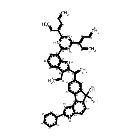 C=C/C=C(\C=C)c1nc(/C(C=C)=C/C=C)nc(-c2cccc3c(C=C)c(C(=C)c4ccc5c(c4)C(C)(C)c4ccc6nc(-c7ccccc7)sc6c4-5)oc23)n1